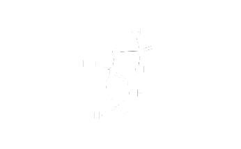 CP(=O)(OP(O)(O)=S)OP(O)(O)=S